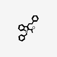 CC(=O)c1c(CCc2ccccc2)c2ccccc2n1Cc1ccccc1